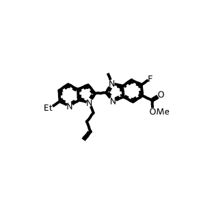 C=CCCn1c(-c2nc3cc(C(=O)OC)c(F)cc3n2C)cc2ccc(CC)nc21